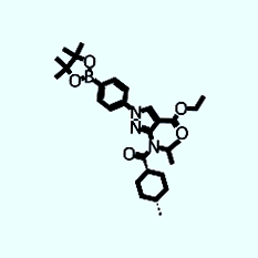 CCOC(=O)c1cn(-c2ccc(B3OC(C)(C)C(C)(C)O3)cc2)nc1N(C(=O)[C@H]1CC[C@H](C)CC1)C(C)C